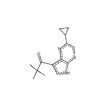 CC(C)(C)C(=O)c1c[nH]c2ncc(C3CC3)nc12